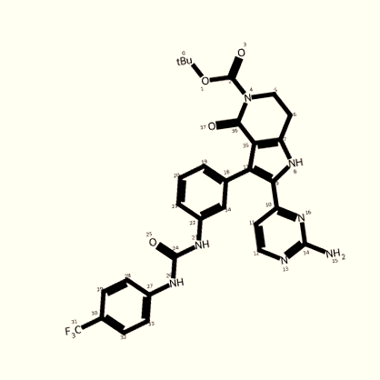 CC(C)(C)OC(=O)N1CCc2[nH]c(-c3ccnc(N)n3)c(-c3cccc(NC(=O)Nc4ccc(C(F)(F)F)cc4)c3)c2C1=O